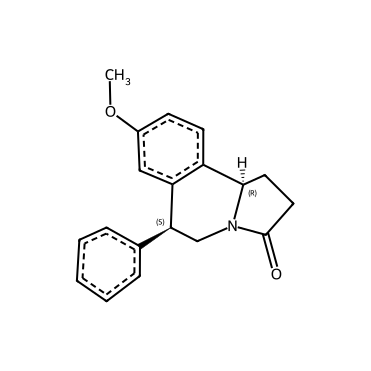 COc1ccc2c(c1)[C@H](c1ccccc1)CN1C(=O)CC[C@H]21